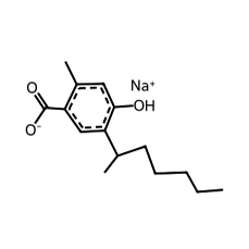 CCCCCC(C)c1cc(C(=O)[O-])c(C)cc1O.[Na+]